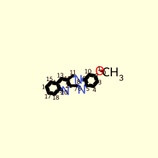 COc1ccc2nc3n(c2c1)Cc1cc2ccccc2nc1-3